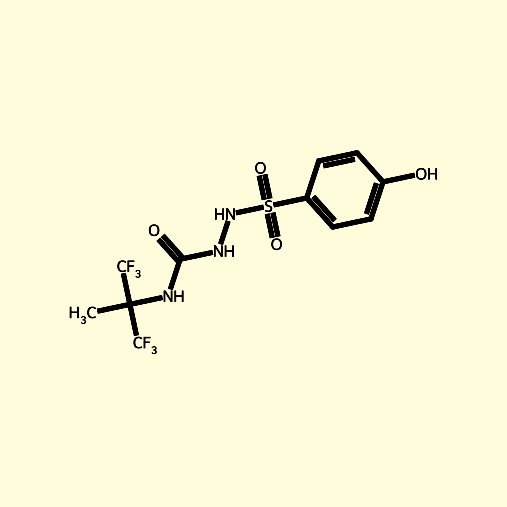 CC(NC(=O)NNS(=O)(=O)c1ccc(O)cc1)(C(F)(F)F)C(F)(F)F